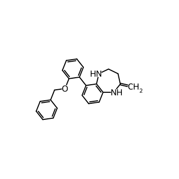 C=C1CCNc2c(cccc2-c2ccccc2OCc2ccccc2)N1